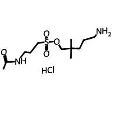 CC(=O)NCCCS(=O)(=O)OCC(C)(C)CCCN.Cl